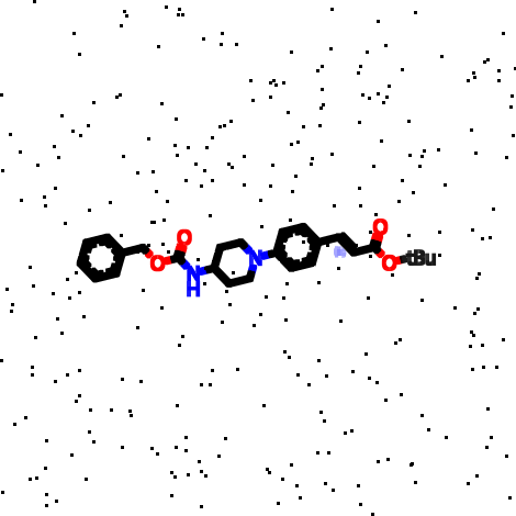 CC(C)(C)OC(=O)/C=C/c1ccc(N2CCC(NC(=O)OCc3ccccc3)CC2)cc1